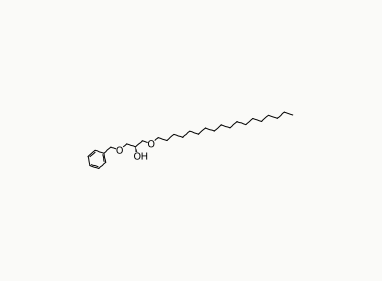 CCCCCCCCCCCCCCCCCCOC[C@@H](O)COCc1ccccc1